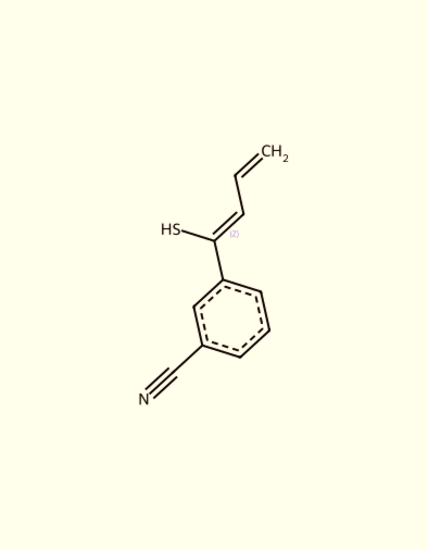 C=C/C=C(\S)c1cccc(C#N)c1